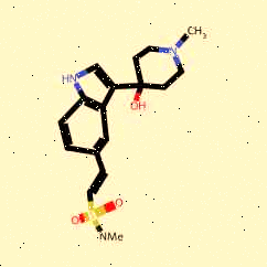 CNS(=O)(=O)C=Cc1ccc2[nH]cc(C3(O)CCN(C)CC3)c2c1